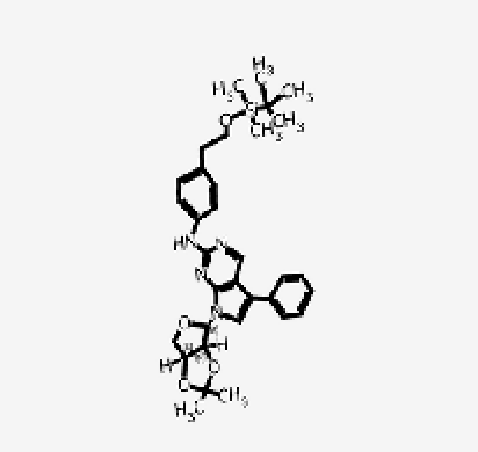 CC1(C)O[C@H]2[C@H](n3cc(-c4ccccc4)c4cnc(Nc5ccc(CCO[Si](C)(C)C(C)(C)C)cc5)nc43)OC[C@H]2O1